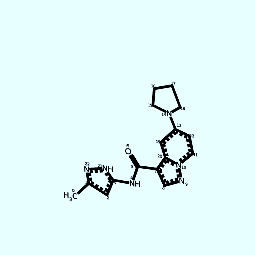 Cc1cc(NC(=O)c2cnn3ccc(N4CCCC4)cc23)[nH]n1